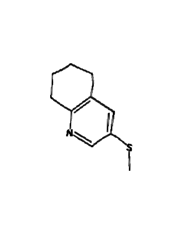 CSc1cnc2c(c1)CCCC2